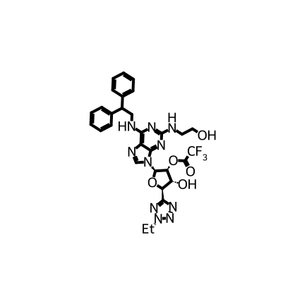 CCn1nnc([C@H]2O[C@@H](n3cnc4c(NCC(c5ccccc5)c5ccccc5)nc(NCCO)nc43)[C@H](OC(=O)C(F)(F)F)[C@@H]2O)n1